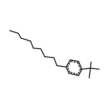 [CH2]C(C)(C)c1ccc(CCCCCCCCC)cc1